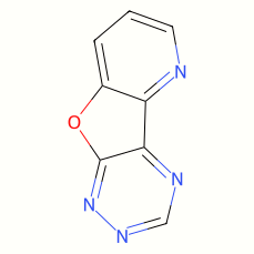 c1cnc2c(c1)oc1nncnc12